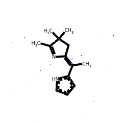 CC1=N/C(=C(/C)c2ccc[nH]2)CC1(C)C